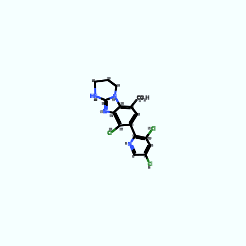 O=C(O)c1cc(-c2ncc(Cl)cc2Cl)c(Cl)c2nc3n(c12)CCCN3